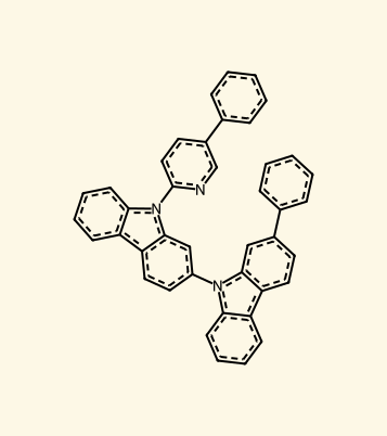 c1ccc(-c2ccc(-n3c4ccccc4c4ccc(-n5c6ccccc6c6ccc(-c7ccccc7)cc65)cc43)nc2)cc1